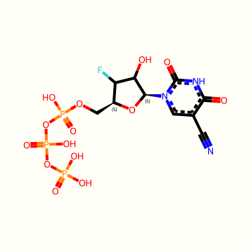 N#Cc1cn([C@H]2O[C@@H](COP(=O)(O)OP(=O)(O)OP(=O)(O)O)C(F)C2O)c(=O)[nH]c1=O